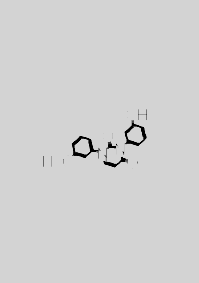 Cc1cccc(-n2ccc(=O)n(-c3cccc(C)c3)c2=O)c1